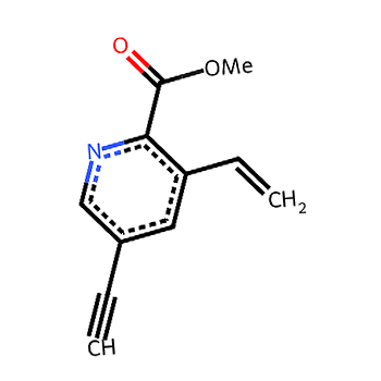 C#Cc1cnc(C(=O)OC)c(C=C)c1